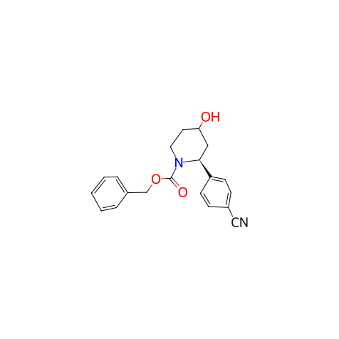 N#Cc1ccc([C@@H]2CC(O)CCN2C(=O)OCc2ccccc2)cc1